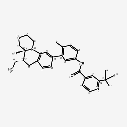 Cc1ccc(NC(=O)c2ccnc(C(C)(C)F)c2)cc1-c1ccc2c(c1)N1CCOC[C@H]1[C@@H](CO)C2